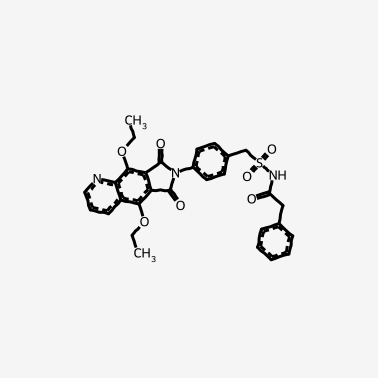 CCOc1c2c(c(OCC)c3ncccc13)C(=O)N(c1ccc(CS(=O)(=O)NC(=O)Cc3ccccc3)cc1)C2=O